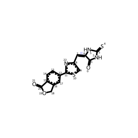 O=C1NC(=S)N/C1=C/c1csc(-c2ccc3c(c2)COC3=O)n1